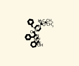 CC(C)(C)OC(=O)N1CCN(C(=O)c2ncn(C3CCCCC3(O)C(F)(F)F)c2-c2ccccc2)[C@H](Cc2ccccc2)C1